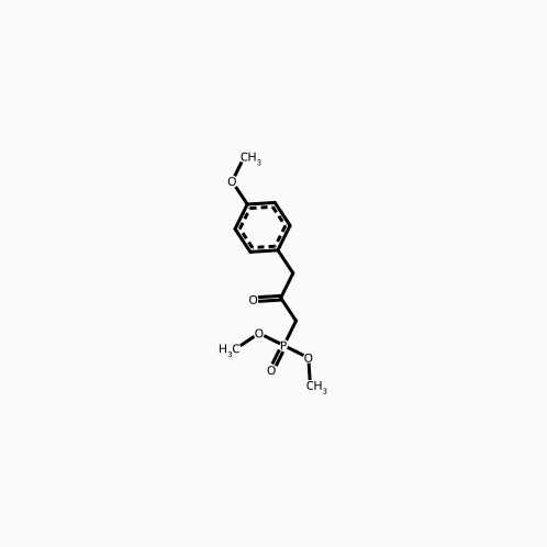 COc1ccc(CC(=O)CP(=O)(OC)OC)cc1